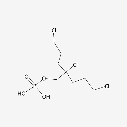 O=P(O)(O)OCC(Cl)(CCCCl)CCCCl